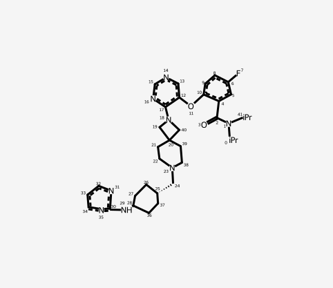 CC(C)N(C(=O)c1cc(F)ccc1Oc1cncnc1N1CC2(CCN(C[C@H]3CC[C@H](Nc4ncccn4)CC3)CC2)C1)C(C)C